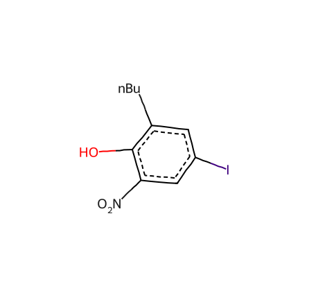 CCCCc1cc(I)cc([N+](=O)[O-])c1O